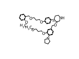 COCCCOc1cc(CO[C@H]2CNCC[C@@H]2c2ccc(OCCCOCc3ccccc3OC)cc2)ccc1N1CCCC1